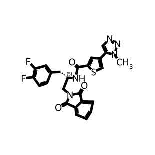 Cn1nncc1-c1csc(C(=O)N[C@@H](Cc2ccc(F)c(F)c2)CN2C(=O)c3ccccc3C2=O)c1